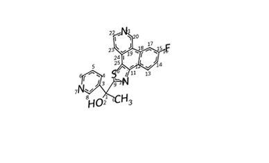 CC(O)(c1cccnc1)c1nc2c3ccc(F)cc3c3cnccc3c2s1